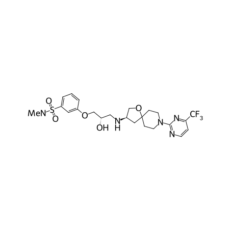 CNS(=O)(=O)c1cccc(OC[C@@H](O)CN[C@H]2COC3(CCN(c4nccc(C(F)(F)F)n4)CC3)C2)c1